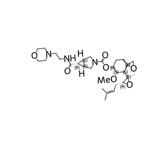 CO[C@@H]1[C@H](OC(=O)N2C[C@@H]3[C@H](C2)[C@H]3C(=O)NCCN2CCOCC2)CC[C@]2(CO2)[C@H]1[C@@]1(C)O[C@@H]1CC=C(C)C